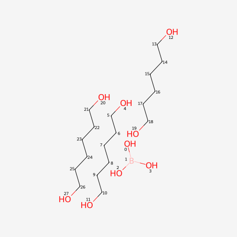 OB(O)O.OCCCCCCO.OCCCCCCO.OCCCCCCO